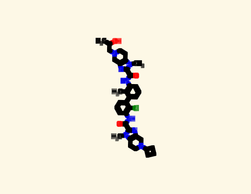 Cc1c(NC(=O)c2nc3c(n2C)CCN(CC(C)O)C3)cccc1-c1cccc(NC(=O)c2nc3c(n2C)CCN(C2CCC2)C3)c1Cl